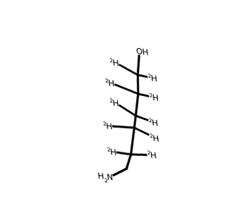 [2H]C([2H])(O)C([2H])([2H])C([2H])([2H])C([2H])([2H])C([2H])([2H])CN